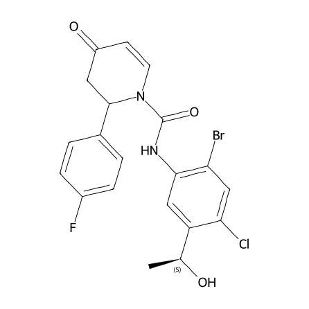 C[C@H](O)c1cc(NC(=O)N2C=CC(=O)CC2c2ccc(F)cc2)c(Br)cc1Cl